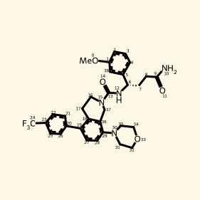 COc1cccc([C@H](CCC(N)=O)NC(=O)N2CCc3c(-c4ccc(C(F)(F)F)cc4)ccc(N4CCOCC4)c3C2)c1